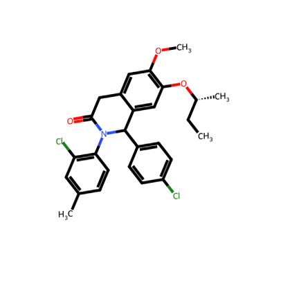 CC[C@@H](C)Oc1cc2c(cc1OC)CC(=O)N(c1ccc(C)cc1Cl)C2c1ccc(Cl)cc1